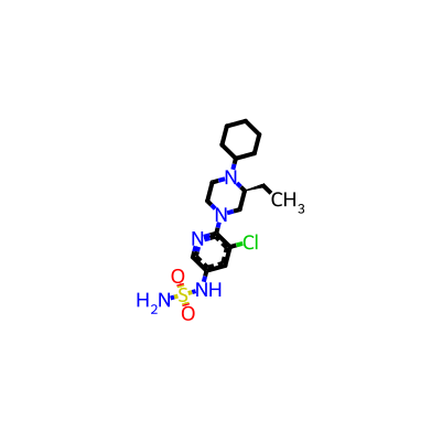 CC[C@H]1CN(c2ncc(NS(N)(=O)=O)cc2Cl)CCN1C1CCCCC1